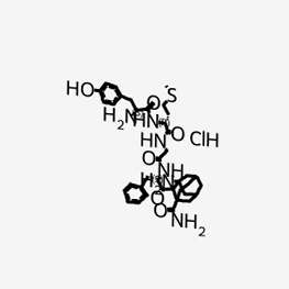 CSCC[C@@H](NC(=O)[C@@H](N)Cc1ccc(O)cc1)C(=O)NCC(=O)N[C@@H](Cc1ccccc1)C(=O)C1C2(N)CC3CC(C2)CC1(C(N)=O)C3.Cl